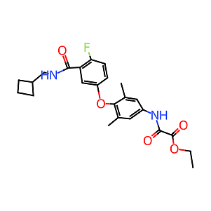 CCOC(=O)C(=O)Nc1cc(C)c(Oc2ccc(F)c(C(=O)NCC3CCC3)c2)c(C)c1